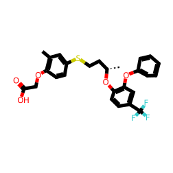 Cc1cc(SCC[C@H](C)Oc2ccc(C(F)(F)F)cc2Oc2ccccc2)ccc1OCC(=O)O